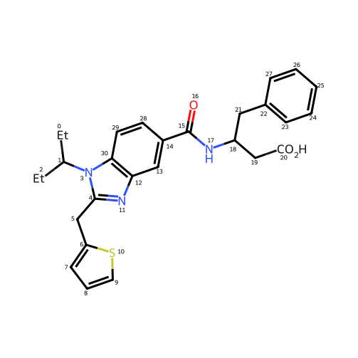 CCC(CC)n1c(Cc2cccs2)nc2cc(C(=O)NC(CC(=O)O)Cc3ccccc3)ccc21